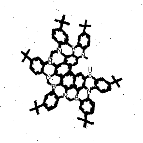 CN1c2ccc(C(C)(C)C)cc2B2c3cc(C(C)(C)C)ccc3N3CB4c5cc(C(C)(C)C)ccc5N5CB6c7cc(C(C)(C)C)ccc7N7CB8c9cc(C(C)(C)C)ccc9N9c%10ccc(C(C)(C)C)cc%10Bc%10cc%11c(c8c%109)c7c6c6c5c4c4c3c2c1cc4c6%11